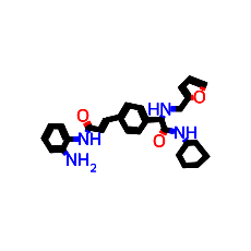 Nc1ccccc1NC(=O)C=Cc1ccc(C(NCc2ccco2)C(=O)NC2CCCCC2)cc1